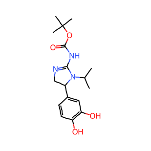 CC(C)N1C(NC(=O)OC(C)(C)C)=NCC1c1ccc(O)c(O)c1